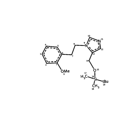 COc1ccccc1CCn1cncc1CO[Si](C)(C)C(C)(C)C